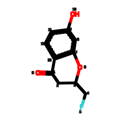 O=C1CC(CF)Oc2cc(O)ccc21